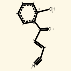 N#C/C=C/C(=O)c1ccccc1O